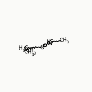 CCCCCCCCSc1ncc(-c2ccc(OCCCCCCCCCCC[Si](C)(C)CC)cc2)cn1